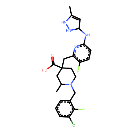 CC1=CC(Nc2ccc(F)c(CC3(C(=O)O)CCN(Cc4cccc(Cl)c4F)C(C)C3)n2)NN1